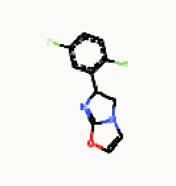 Fc1ccc(F)c(C2CN3C=COC3=N2)c1